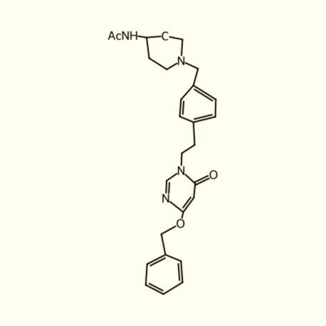 CC(=O)NC1CCN(Cc2ccc(CCn3cnc(OCc4ccccc4)cc3=O)cc2)CC1